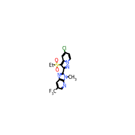 CCS(=O)(=O)c1c(-c2nc3cc(C(F)(F)F)cnc3n2C)nn2ccc(Cl)cc12